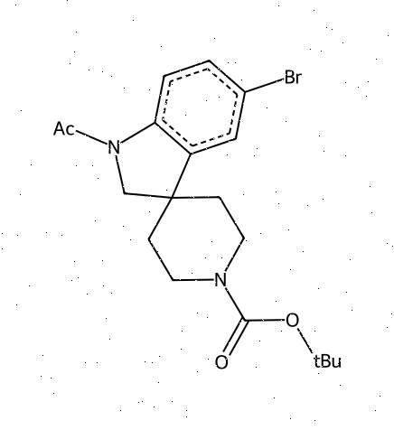 CC(=O)N1CC2(CCN(C(=O)OC(C)(C)C)CC2)c2cc(Br)ccc21